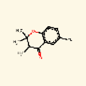 CC1C(=O)c2cc(C#N)ccc2OC1(C)C